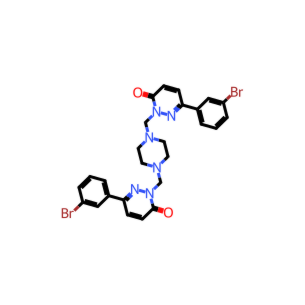 O=c1ccc(-c2cccc(Br)c2)nn1CN1CCN(Cn2nc(-c3cccc(Br)c3)ccc2=O)CC1